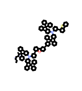 C=C/C=C\C=C(/C)C1(c2ccccc2)c2ccccc2-c2ccc(N(c3cccc(-c4cccc5c4oc4ccc(-c6ccc(C7(c8ccccc8)c8ccccc8-c8ccc(N(c9cccc(-c%10cccc%11c%10sc%10ccccc%10%11)c9)c9ccc%10c(c9)C(c9ccccc9)(c9ccccc9)c9ccccc9-%10)cc87)cc6)cc45)c3)c3ccc4c(c3)C(c3ccccc3)(c3ccccc3)c3ccccc3-4)cc21